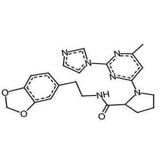 Cc1cc(N2CCCC2C(=O)NCCc2ccc3c(c2)OCO3)nc(-n2ccnc2)n1